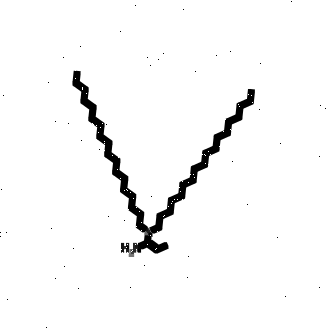 CC=C(N)N(CCCCCCCCCCCCCCCCCC)CCCCCCCCCCCCCCCCCC